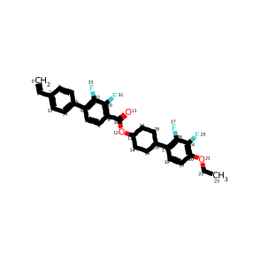 C=Cc1ccc(-c2ccc(C(=O)OC3CCC(c4ccc(OCC)c(F)c4F)CC3)c(F)c2F)cc1